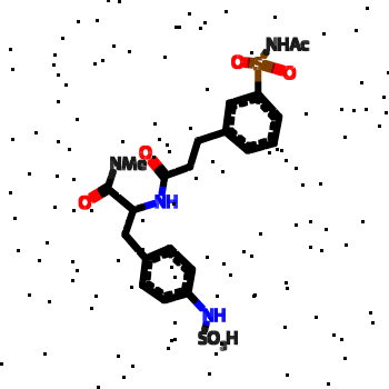 CNC(=O)C(Cc1ccc(NS(=O)(=O)O)cc1)NC(=O)CCc1cccc(S(=O)(=O)NC(C)=O)c1